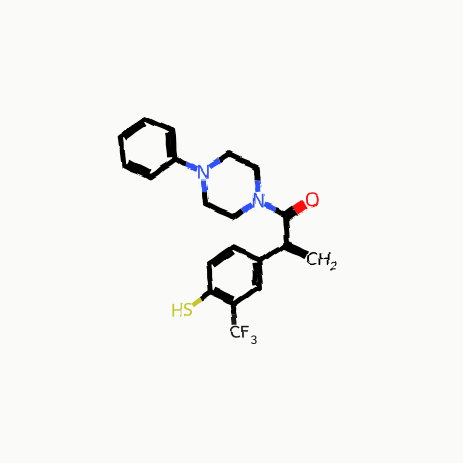 C=C(C(=O)N1CCN(c2ccccc2)CC1)c1ccc(S)c(C(F)(F)F)c1